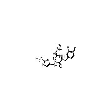 CC(C)N(C)[C@@H](C)C(=O)N[C@@H](Cc1ccc(F)c(F)c1)C(=O)NCc1cnc(N)s1